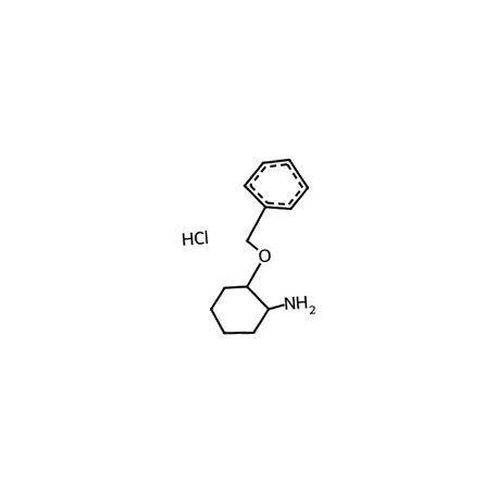 Cl.NC1CCCCC1OCc1ccccc1